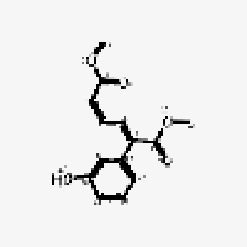 COC(=O)/C=C\C=C(\C(=O)OC)c1cccc(O)c1